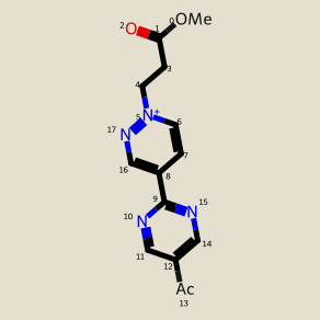 COC(=O)CC[n+]1ccc(-c2ncc(C(C)=O)cn2)cn1